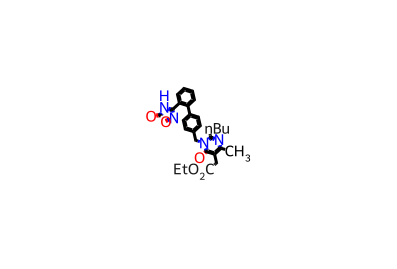 CCCCc1nc(C)c(CC(=O)OCC)c(=O)n1Cc1ccc(-c2ccccc2-c2noc(=O)[nH]2)cc1